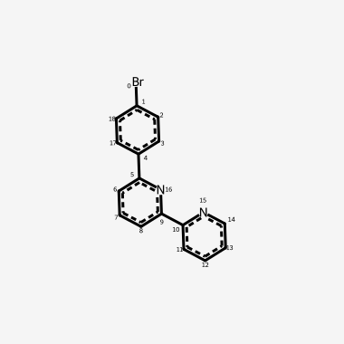 Brc1ccc(-c2cccc(-c3ccccn3)n2)cc1